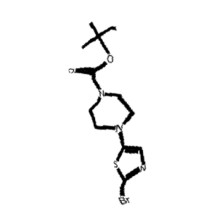 CC(C)(C)OC(=O)N1CCN(c2cnc(Br)s2)CC1